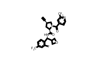 C#C[C@@H]1C[C@H](C(=O)N[C@@H](c2ccc(C(F)(F)F)cc2F)C2COC2)N(C(=O)c2ccnc(C(F)(F)F)c2)C1